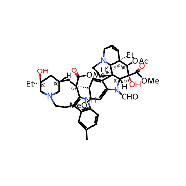 CC[C@]1(O)C[C@H]2CN(CCc3c([nH]c4ccc(C)cc34)[C@@](C(=O)OC)(C3C=C4C(=CC3OC)N(C=O)[C@H]3[C@@](O)(C(=O)OC)[C@H](OC(C)=O)[C@]5(CC)C=CCN6CC[C@]43[C@@H]65)C2)C1